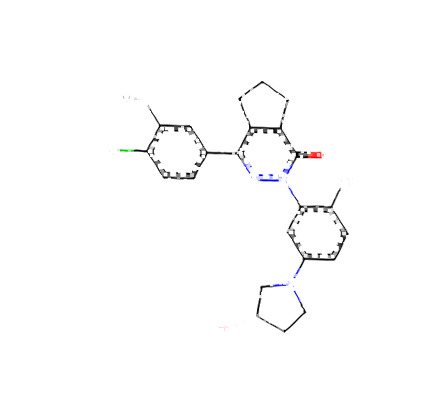 COc1cc(-c2nn(-c3cc(N4CC[C@H](O)C4)ccc3C(F)(F)F)c(=O)c3c2CCC3)ccc1Cl